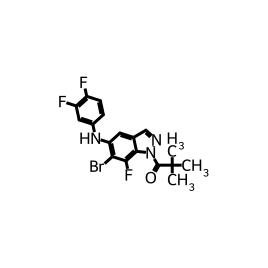 CC(C)(C)C(=O)n1ncc2cc(Nc3ccc(F)c(F)c3)c(Br)c(F)c21